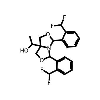 CC(O)C12COC(c3ccccc3C(F)F)N1C(c1ccccc1C(F)F)OC2